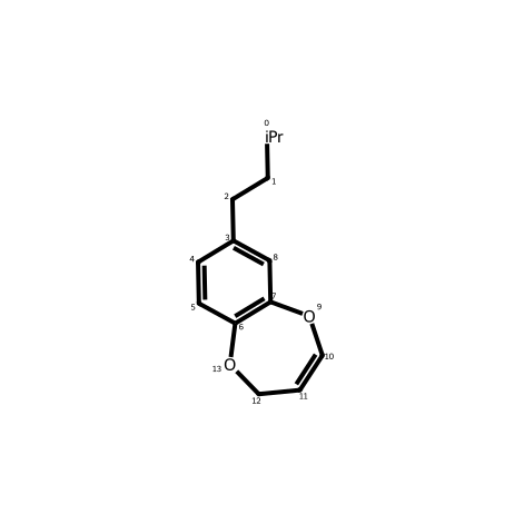 CC(C)CCc1ccc2c(c1)OC=CCO2